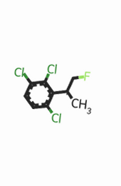 C[C](CF)c1c(Cl)ccc(Cl)c1Cl